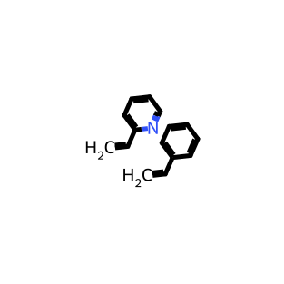 C=Cc1ccccc1.C=Cc1ccccn1